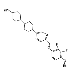 CCCC1CCC(C2CCC(c3ccc(COc4ccc(OCC)c(F)c4F)cc3)CC2)CC1